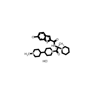 CN1CCC(C2CCN(C(=O)[C@@](C)(NC(=O)c3cc4ccc(Cl)cc4s3)N3CCCCC3)CC2)CC1.Cl